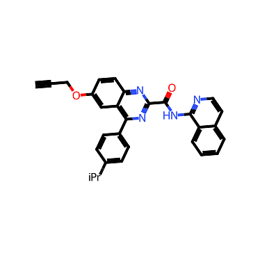 C#CCOc1ccc2nc(C(=O)Nc3nccc4ccccc34)nc(-c3ccc(C(C)C)cc3)c2c1